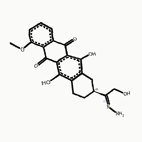 COc1cccc2c1C(=O)c1c(O)c3c(c(O)c1C2=O)C[C@@H](/C(CO)=N/N)CC3